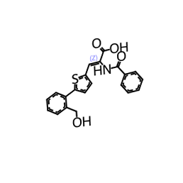 O=C(O)/C(=C/c1ccc(-c2ccccc2CO)s1)NC(=O)c1ccccc1